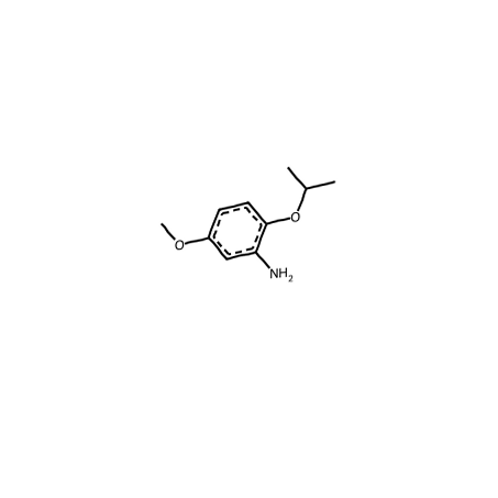 COc1ccc(OC(C)C)c(N)c1